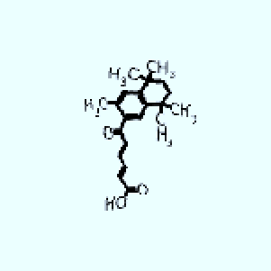 Cc1cc2c(cc1C(=O)C=CC=CC(=O)O)C(C)(C)CCC2(C)C